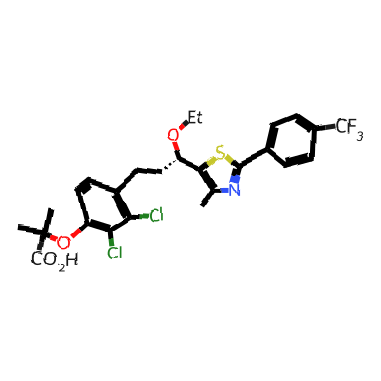 CCO[C@@H](CCc1ccc(OC(C)(C)C(=O)O)c(Cl)c1Cl)c1sc(-c2ccc(C(F)(F)F)cc2)nc1C